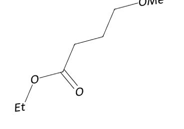 CCOC(=O)CCCOC